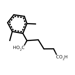 Cc1cccc(C)c1C(CCCC(=O)O)C(=O)O